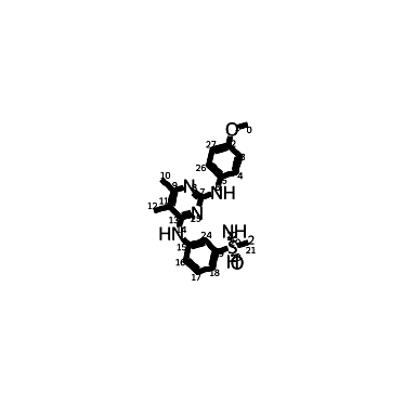 COc1ccc(Nc2nc(C)c(C)c(Nc3cccc([SH](C)(N)=O)c3)n2)cc1